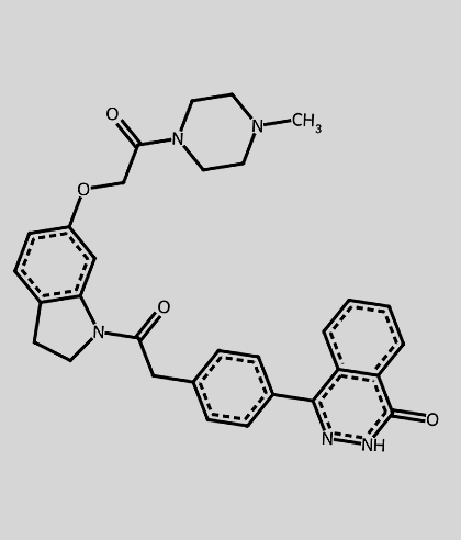 CN1CCN(C(=O)COc2ccc3c(c2)N(C(=O)Cc2ccc(-c4n[nH]c(=O)c5ccccc45)cc2)CC3)CC1